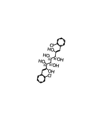 OC(=Cc1ccccc1Cl)[C@@H](O)[C@@H](O)[C@H](O)[C@@H](O)C(O)=Cc1ccccc1Cl